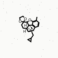 Cc1ccc2c3c1O[C@@H]1C4(CC[C@@H]5C(C2)N(CC2CC2)CC[C@]351)OCCO4